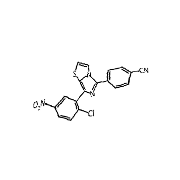 N#Cc1ccc(-c2nc(-c3cc([N+](=O)[O-])ccc3Cl)c3sccn23)cc1